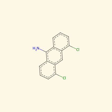 Nc1c2cccc(Cl)c2cc2c(Cl)cccc12